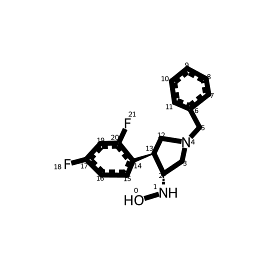 ON[C@H]1CN(Cc2ccccc2)C[C@@H]1c1ccc(F)cc1F